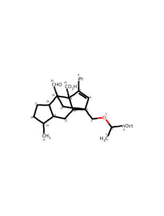 CCCCCCCCC(C)OCC12C=C(C(C)C)C3(C(=O)O)C1CC1C(C)CCC1C3(C=O)C2